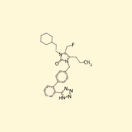 CCCc1c(CF)n(CCC2CCCCC2)c(=O)n1Cc1ccc(-c2ccccc2-c2nnn[nH]2)cc1